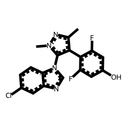 Cc1nn(C)c(-n2cnc3cc(Cl)ccc32)c1-c1c(F)cc(O)cc1F